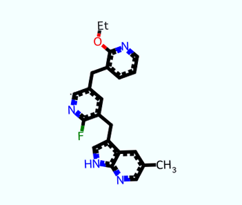 CCOc1ncccc1Cc1[c]nc(F)c(Cc2c[nH]c3ncc(C)cc23)c1